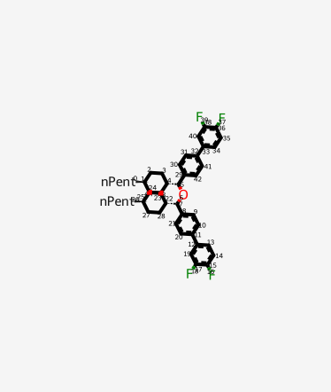 CCCCC[C@H]1CC[C@H](C(OC(c2ccc(-c3ccc(F)c(F)c3)cc2)[C@H]2CC[C@H](CCCCC)CC2)c2ccc(-c3ccc(F)c(F)c3)cc2)CC1